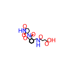 O=C(O)CCC(=O)NCc1cccc2c1C(=O)N(C1CCC(=O)NC1=O)C2=O